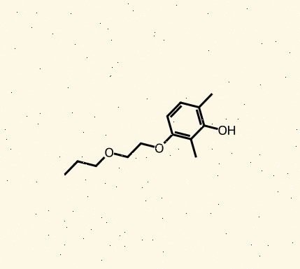 CCCOCCOc1ccc(C)c(O)c1C